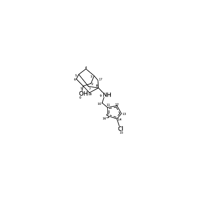 OC12CC3CC(C1)CC(NCc1ccc(Cl)s1)(C3)C2